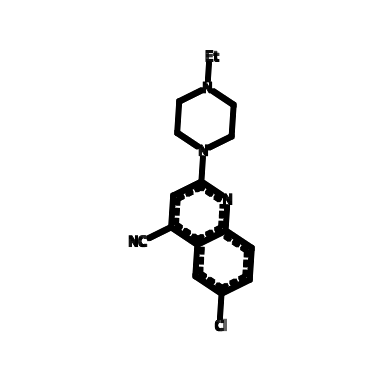 CCN1CCN(c2cc(C#N)c3cc(Cl)ccc3n2)CC1